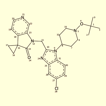 CC(C)(C)ON1CCC(n2c(CN3C(=O)C4(CC4)c4ccncc43)nc3cc(Cl)ccc32)CC1